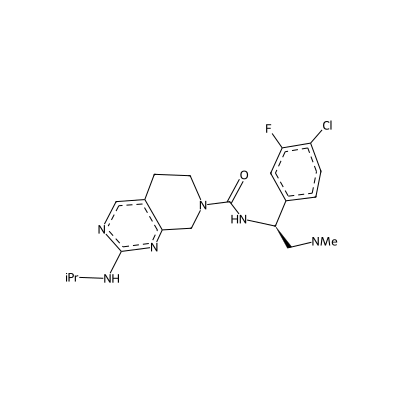 CNC[C@@H](NC(=O)N1CCc2cnc(NC(C)C)nc2C1)c1ccc(Cl)c(F)c1